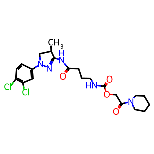 CC1CN(c2ccc(Cl)c(Cl)c2)N=C1NC(=O)CCCNC(=O)OCC(=O)N1CCCCC1